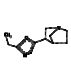 CCc1ncc(C2CN3CCC2C3)o1